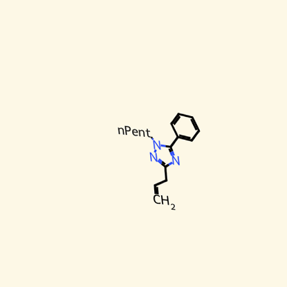 C=CCc1nc(-c2ccccc2)n(CCCCC)n1